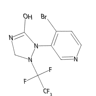 OC1=NCN(C(F)(F)C(F)(F)F)N1c1cnccc1Br